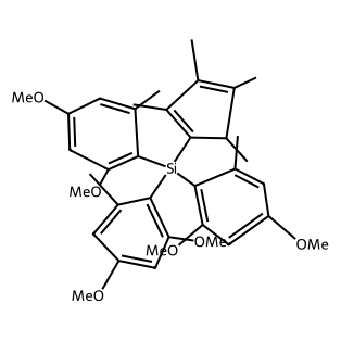 COc1cc(C)c([Si](C2=C(C)C(C)=C(C)C2C)(c2c(C)cc(OC)cc2OC)c2c(C)cc(OC)cc2OC)c(OC)c1